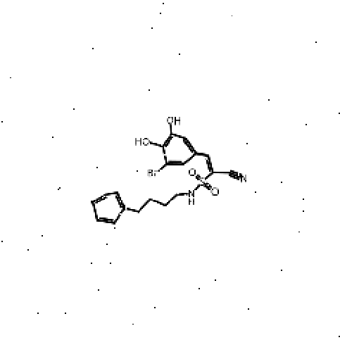 N#CC(=Cc1cc(O)c(O)c(Br)c1)S(=O)(=O)NCCCCc1ccccc1